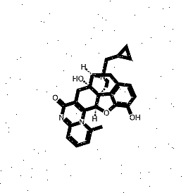 Cc1cccc2nc(=O)c3c(n12)[C@@H]1Oc2c(O)ccc4c2[C@@]12CCN(CC1CC1)[C@H](C4)[C@]2(O)C3